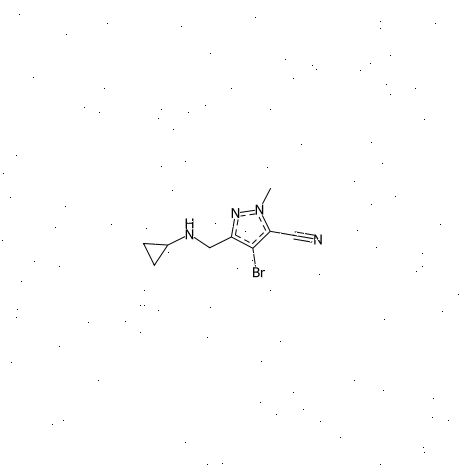 Cn1nc(CNC2CC2)c(Br)c1C#N